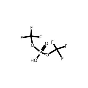 O=P(O)(OC(F)(F)F)OC(F)(F)F